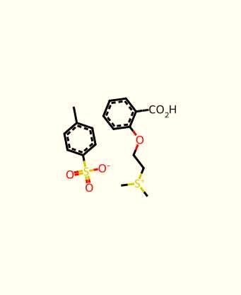 C[S+](C)CCOc1ccccc1C(=O)O.Cc1ccc(S(=O)(=O)[O-])cc1